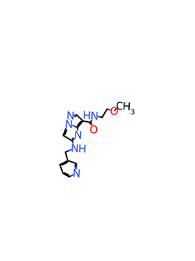 COCCNC(=O)c1cnn2ccc(NCc3cccnc3)nc12